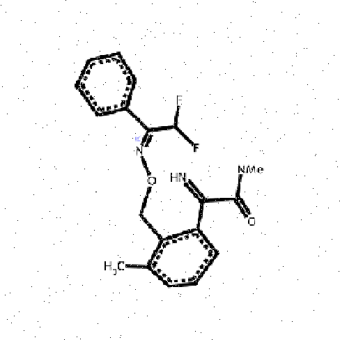 CNC(=O)C(=N)c1cccc(C)c1CO/N=C(/c1ccccc1)C(F)F